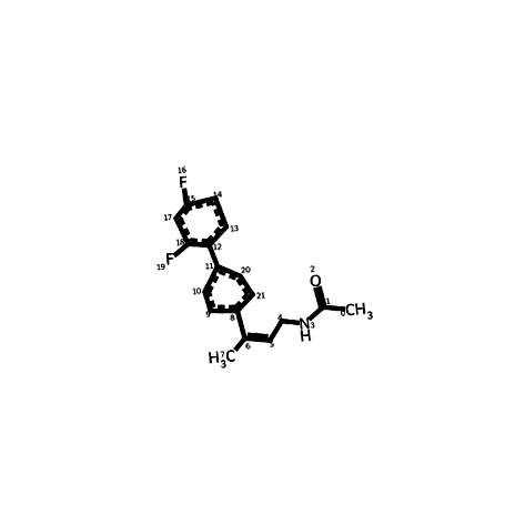 CC(=O)NC/C=C(/C)c1ccc(-c2ccc(F)cc2F)cc1